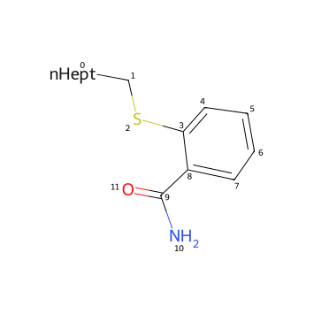 CCCCCCCCSc1ccccc1C(N)=O